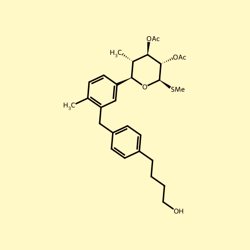 CS[C@H]1O[C@@H](c2ccc(C)c(Cc3ccc(CCCCO)cc3)c2)[C@H](C)[C@@H](OC(C)=O)[C@@H]1OC(C)=O